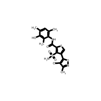 Cc1cc(C)c(NC(=O)c2scc(-c3onc(C)c3Cl)c2S(N)(=O)=O)c(C)c1O